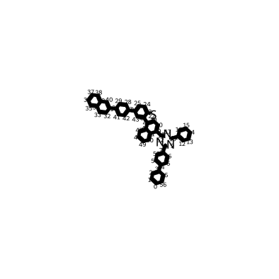 c1ccc(-c2ccc(-c3nc(-c4ccccc4)nc(-c4cc5sc6ccc(-c7ccc(-c8ccc9ccccc9c8)cc7)cc6c5c5ccccc45)n3)cc2)cc1